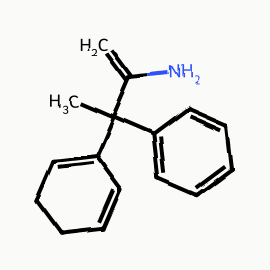 C=C(N)C(C)(C1=CCCC=C1)c1ccccc1